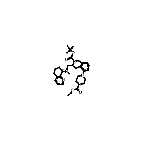 CCOC(=O)N1CCN(c2cccc3c2CC(CN(C)[C@H]2CCCc4cccnc42)N(C(=O)OC(C)(C)C)C3)CC1